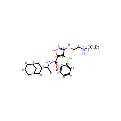 CCOC(=O)NCCOc1noc(C(=O)NC(C)C2CC3CCCC(C3)C2)c1Sc1ccccc1